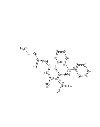 CCOC(=O)Nc1cc(NC(c2ccccc2)c2ccccc2)c([N+](=O)[O-])c(O)n1